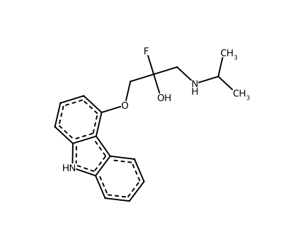 CC(C)NCC(O)(F)COc1cccc2[nH]c3ccccc3c12